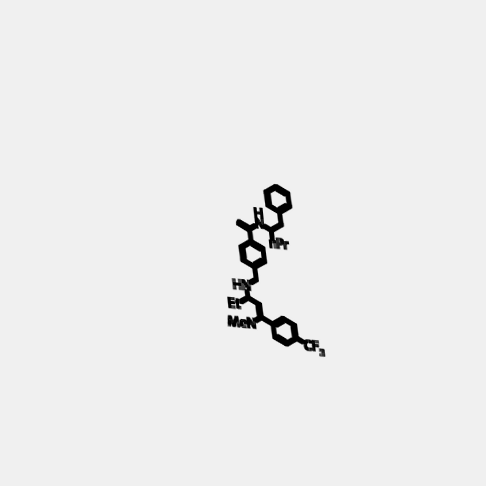 C=C(NC(CCC)Cc1ccccc1)c1ccc(CNC(/C=C(\NC)c2ccc(C(F)(F)F)cc2)CC)cc1